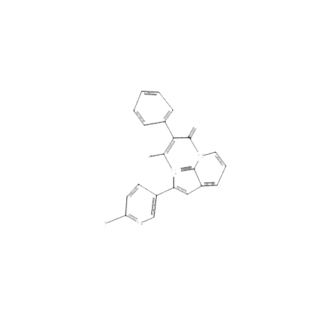 O=c1c(-c2ccccc2)c([O-])[n+]2c(-c3ccc(Cl)nc3)cc3cccn1c32